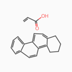 C=CC(=O)O.c1ccc2c(c1)ccc1c3c(ccc12)CCCC3